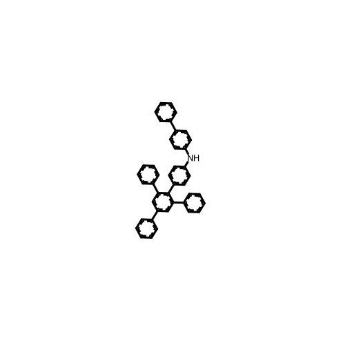 c1ccc(-c2ccc(Nc3ccc(-c4c(-c5ccccc5)cc(-c5ccccc5)cc4-c4ccccc4)cc3)cc2)cc1